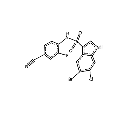 N#Cc1ccc(NS(=O)(=O)c2c[nH]c3cc(Cl)c(Br)cc23)c(F)c1